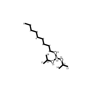 CCCCCCCCCOP(OC(C)C)OC(C)C